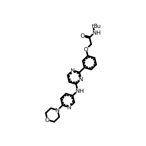 CC(C)(C)NC(=O)COc1cccc(-c2nccc(Nc3ccc(N4CCOCC4)nc3)n2)c1